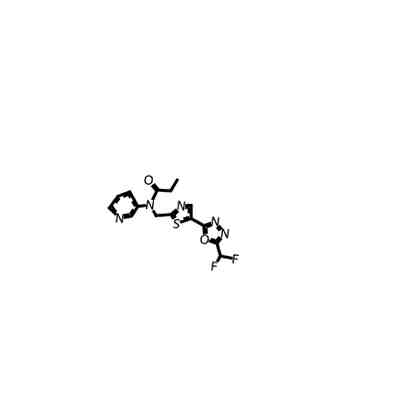 CCC(=O)N(Cc1ncc(-c2nnc(C(F)F)o2)s1)c1cccnc1